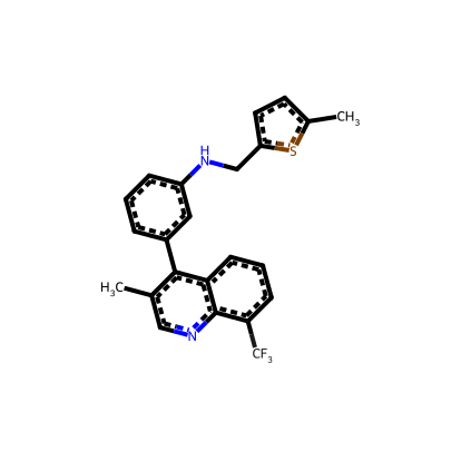 Cc1ccc(CNc2cccc(-c3c(C)cnc4c(C(F)(F)F)cccc34)c2)s1